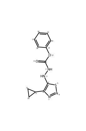 O=C(NNc1snnc1C1CC1)Oc1ccccc1